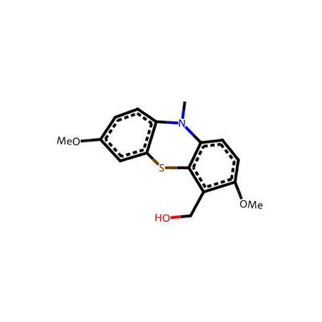 COc1ccc2c(c1)Sc1c(ccc(OC)c1CO)N2C